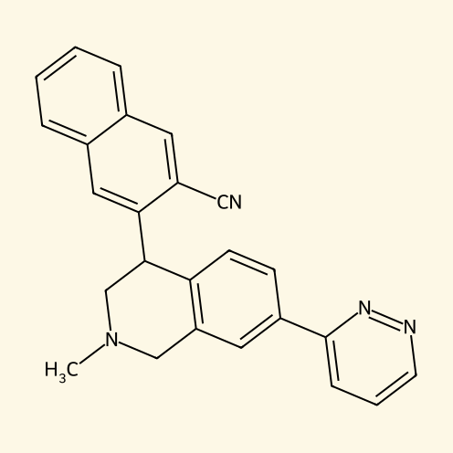 CN1Cc2cc(-c3cccnn3)ccc2C(c2cc3ccccc3cc2C#N)C1